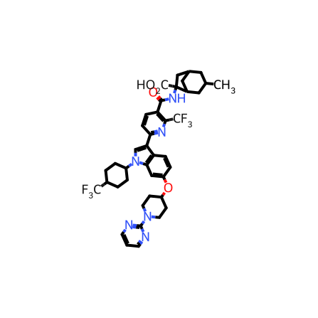 CC1CC2CC(C1)C(NC(=O)c1ccc(-c3cn(C4CCC(C(F)(F)F)CC4)c4cc(OC5CCN(c6ncccn6)CC5)ccc34)nc1C(F)(F)F)(C(=O)O)C2